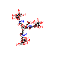 O=C(O)CCOCC(COCCC(=O)NCCO[C@H]1O[C@H](CO)[C@@H](O)[C@H](O)[C@@H]1O)(COCCC(=O)NCCO[C@H]1O[C@H](CO)[C@@H](O)[C@H](O)[C@@H]1O)COCCC(=O)NCCO[C@H]1O[C@H](CO)[C@@H](O)[C@H](O)[C@@H]1O